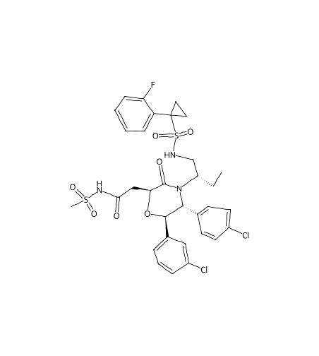 CC[C@@H](CNS(=O)(=O)C1(c2ccccc2F)CC1)N1C(=O)[C@H](CC(=O)NS(C)(=O)=O)O[C@H](c2cccc(Cl)c2)[C@H]1c1ccc(Cl)cc1